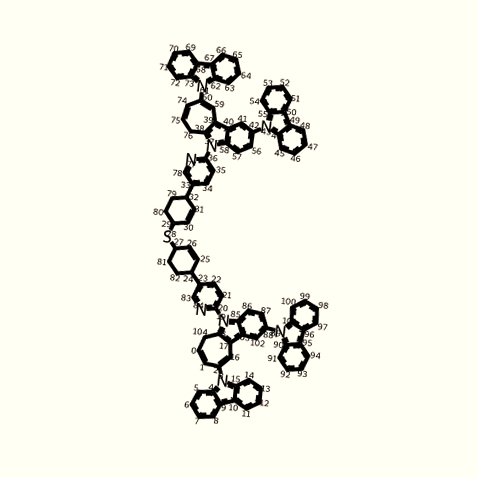 C1=CC(n2c3ccccc3c3ccccc32)=Cc2c(n(-c3ccc(C4C=CC(SC5C=CC(c6ccc(-n7c8c(c9cc(-n%10c%11ccccc%11c%11ccccc%11%10)ccc97)C=C(n7c9ccccc9c9ccccc97)C=CC8)nc6)CC5)CC4)cn3)c3ccc(-n4c5ccccc5c5ccccc54)cc23)C1